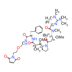 CC[C@H](C)[C@@H]([C@@H](CC(=O)N1CCC[C@H]1[C@H](OC)[C@@H](C)C(=O)N[C@@H](Cc1ccccc1)C(=O)NCCOCCN1C(=O)C=CC1=O)OC)N(C)C(=O)[C@@H](N=C(N(C)C)N(C)C)C(C)C